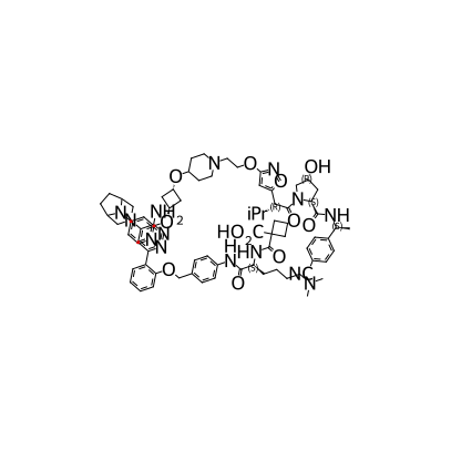 CC(C)[C@@H](C(=O)N1C[C@H](O)C[C@H]1C(=O)N[C@@H](C)c1ccc(C#N)cc1)c1cc(OCCN2CCC(O[C@H]3C[C@H](Oc4cc(N5C6CCC5CN(c5cc(-c7ccccc7OCc7ccc(NC(=O)[C@H](CCCCN(C)C)NC(=O)C8(C(=O)O)CCC8)cc7)nnc5N)C6)ccn4)C3)CC2)no1